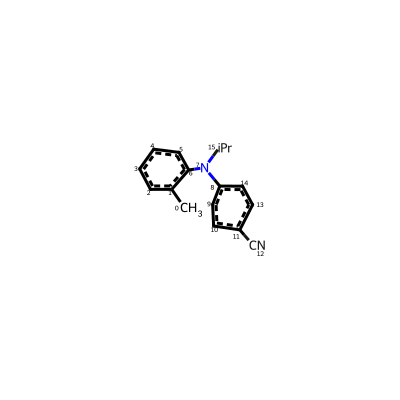 Cc1ccccc1N(c1ccc(C#N)cc1)C(C)C